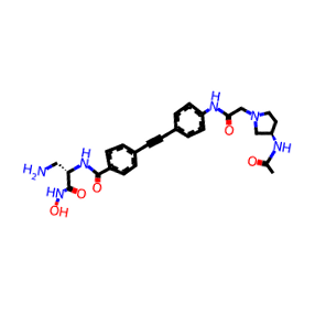 CC(=O)N[C@@H]1CCN(CC(=O)Nc2ccc(C#Cc3ccc(C(=O)N[C@@H](CN)C(=O)NO)cc3)cc2)C1